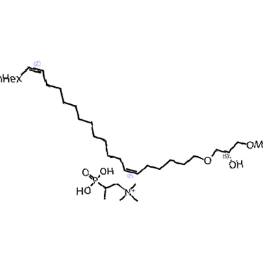 CC(C[N+](C)(C)C)P(=O)(O)O.CCCCCC/C=C\CCCCCCCCCC/C=C\CCCCCOC[C@@H](O)COC